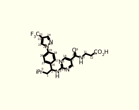 CC(C)CC(Nc1ncc(C(=O)NCCC(=O)O)cn1)c1ccc(-n2cc(C(F)(F)F)cn2)cc1